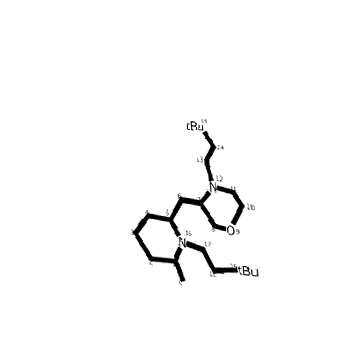 CC1CCCC(CC2COCCN2CCC(C)(C)C)N1CCC(C)(C)C